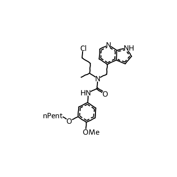 CCCCCOc1cc(NC(=O)N(Cc2ccnc3[nH]ccc23)C(C)CCCl)ccc1OC